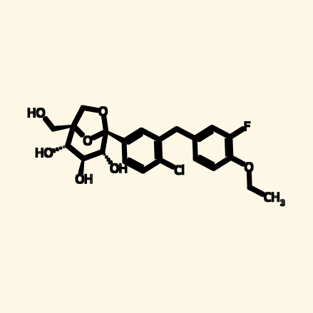 CCOc1ccc(Cc2cc([C@]34OC[C@](CO)(O3)[C@@H](O)[C@H](O)[C@H]4O)ccc2Cl)cc1F